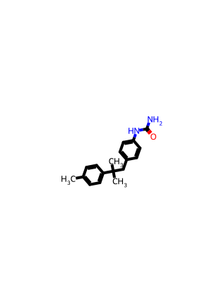 Cc1ccc(C(C)(C)Cc2ccc(NC(N)=O)cc2)cc1